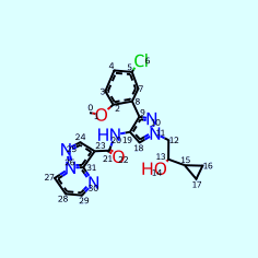 COc1ccc(Cl)cc1-c1nn(C[C@H](O)C2CC2)cc1NC(=O)c1cnn2cccnc12